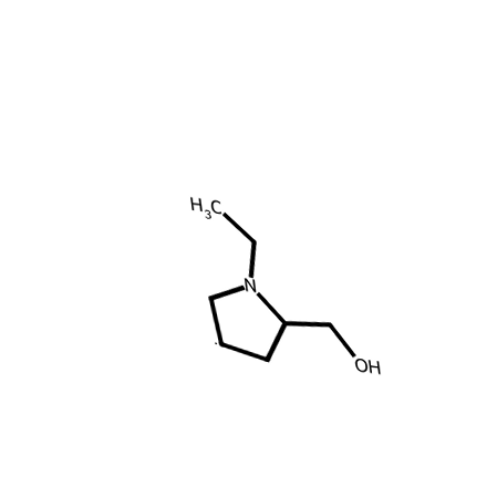 CCN1C[CH]CC1CO